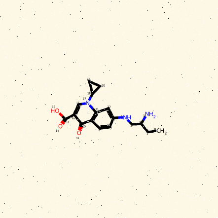 CCC(N)CNc1ccc2c(=O)c(C(=O)O)cn(C3CC3)c2c1